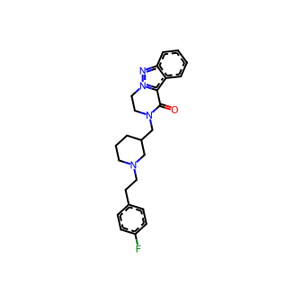 O=C1c2c3ccccc3nn2CCN1CC1CCCN(CCc2ccc(F)cc2)C1